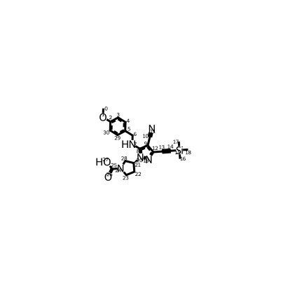 COc1ccc(CNc2c(C#N)c(C#C[Si](C)(C)C)nn2[C@H]2CCN(C(=O)O)C2)cc1